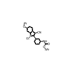 CCCOC(=O)Nc1cccc(-c2c(C#N)c3ccc(OC(C)C)cc3n2CC)c1